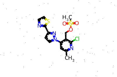 Cc1cc(-n2ccc(-c3nccs3)n2)c(COS(C)(=O)=O)c(Cl)n1